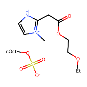 CCCCCCCCOS(=O)(=O)[O-].CCOCCOC(=O)Cc1[nH]cc[n+]1C